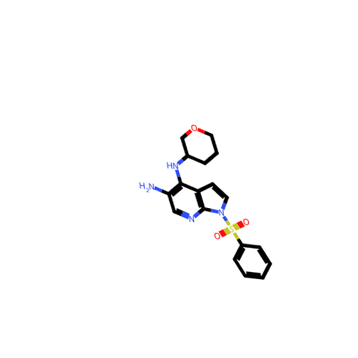 Nc1cnc2c(ccn2S(=O)(=O)c2ccccc2)c1NC1CCCOC1